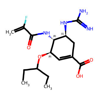 C=C(F)C(=O)N[C@@H]1[C@@H](NC(=N)N)CC(C(=O)O)=C[C@H]1OC(CC)CC